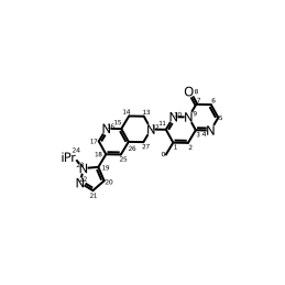 Cc1cc2nccc(=O)n2nc1N1CCc2ncc(-c3ccnn3C(C)C)cc2C1